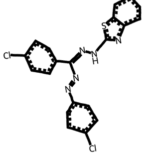 Clc1ccc(N=NC(=NNc2nc3ccccc3s2)c2ccc(Cl)cc2)cc1